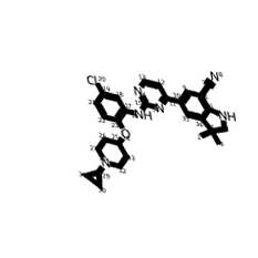 CC1(C)CNc2c(C#N)cc(-c3ccnc(Nc4cc(Cl)ccc4OC4CCN(C5CC5)CC4)n3)cc21